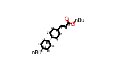 CCCCOC(=O)/C=C/C1CCC([C@H]2CC[C@H](CCCC)CC2)CC1